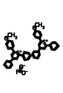 COc1ccc(-c2cc(-c3ccccc3)cc(-c3ccccc3)[s+]2)cc1.COc1ccc(-c2cc(-c3ccccc3)cc(-c3ccccc3)[s+]2)cc1.[O-]B([O-])F